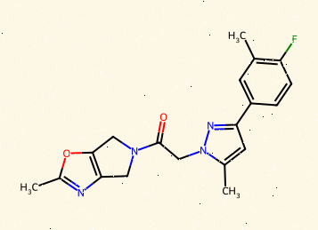 Cc1nc2c(o1)CN(C(=O)Cn1nc(-c3ccc(F)c(C)c3)cc1C)C2